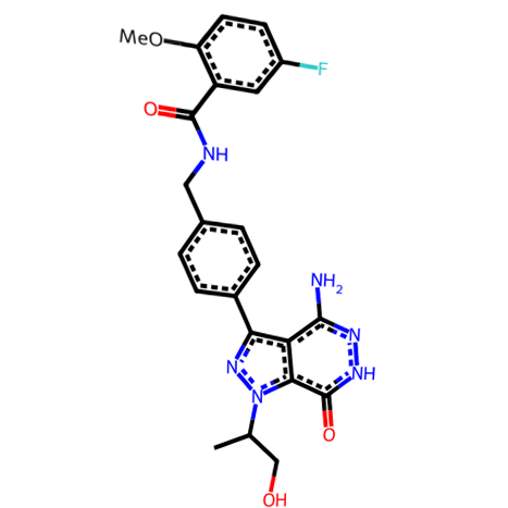 COc1ccc(F)cc1C(=O)NCc1ccc(-c2nn(C(C)CO)c3c(=O)[nH]nc(N)c23)cc1